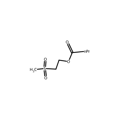 CCCC(=O)OCCS(C)(=O)=O